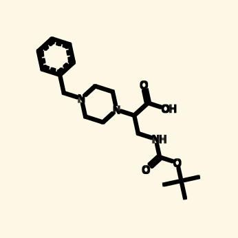 CC(C)(C)OC(=O)NCC(C(=O)O)N1CCN(Cc2ccccc2)CC1